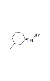 CC1CCC/C(=N\C(C)C)C1